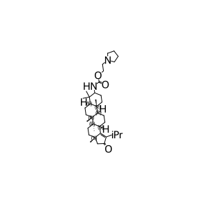 CC(C)C1=C2[C@H]3CC[C@@H]4[C@@]5(C)CCC(NC(=O)OCCN6CCCC6)C(C)(C)[C@@H]5CC[C@@]4(C)[C@]3(C)CC[C@@]2(C)CC1=O